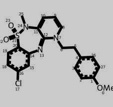 COc1ccc(CCN2C=CC=C3C2=Nc2cc(Cl)ccc2S(=O)(=O)N3C)cc1